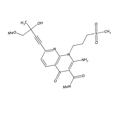 CNC(=O)c1c(N)n(CCCS(C)(=O)=O)c2nc(C#CC(C)(O)COC)ccc2c1=O